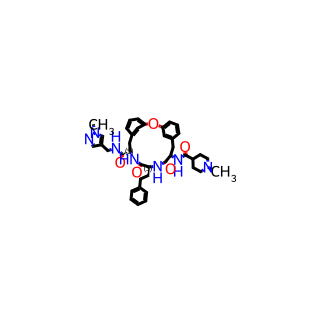 CN1CCC(C(=O)NC2Cc3cccc(c3)Oc3cccc(c3)C[C@@H](C(=O)NCc3cnn(C)c3)NC(=O)[C@H](CCc3ccccc3)NC2=O)CC1